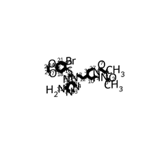 CC(=O)N[C@H](C)C(=O)N1CCC(CCn2c(Sc3cc4c(cc3Br)OCCO4)nc3c(N)ncnc32)CC1